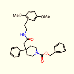 COc1ccc(OC)c(CCNC(=O)CC2(c3ccccc3)CCN(C(=O)OCc3ccccc3)CC2)c1